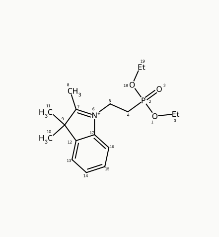 CCOP(=O)(CC[N+]1=C(C)C(C)(C)c2ccccc21)OCC